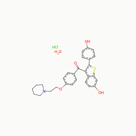 Cl.O.O=C(c1ccc(OCCN2CCCCC2)cc1)c1c(-c2ccc(O)cc2)sc2cc(O)ccc12